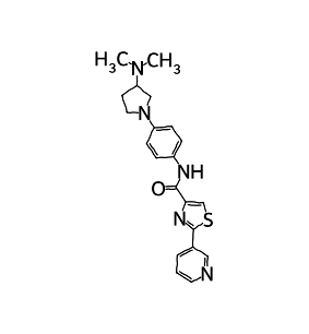 CN(C)C1CCN(c2ccc(NC(=O)c3csc(-c4cccnc4)n3)cc2)C1